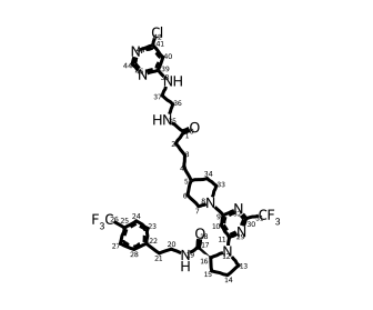 O=C(CCCC1CCN(c2cc(N3CCC[C@H]3C(=O)NCCc3ccc(C(F)(F)F)cc3)nc(C(F)(F)F)n2)CC1)NCCNc1cc(Cl)ncn1